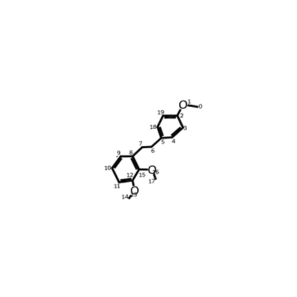 COc1ccc(CCc2[c]ccc(OC)c2OC)cc1